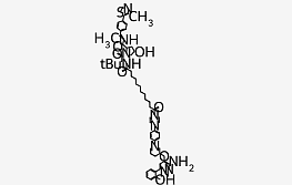 Cc1ncsc1-c1ccc(C(C)NC(=O)C2CC(O)CN2C(=O)C(NC(=O)CCCCCCCCCCC(=O)N2CCN(c3ccc(N4CCCC(Oc5cc(-c6ccccc6O)nnc5N)C4)cc3)CC2)C(C)(C)C)cc1